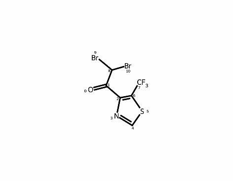 O=C(c1ncsc1C(F)(F)F)C(Br)Br